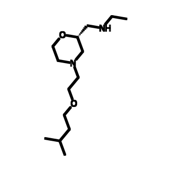 CCNC[C@@H]1CN(CCOCCC(C)C)CCO1